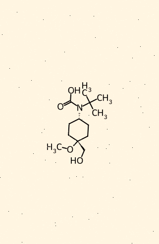 CO[C@]1(CO)CC[C@H](N(C(=O)O)C(C)(C)C)CC1